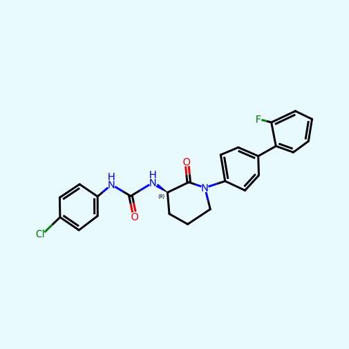 O=C(Nc1ccc(Cl)cc1)N[C@@H]1CCCN(c2ccc(-c3ccccc3F)cc2)C1=O